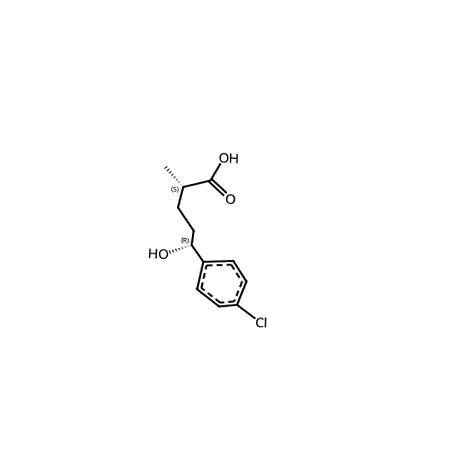 C[C@@H](CC[C@@H](O)c1ccc(Cl)cc1)C(=O)O